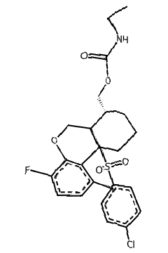 CCNC(=O)OC[C@@H]1CCCC2(S(=O)(=O)c3ccc(Cl)cc3)c3c(F)ccc(F)c3OCC12